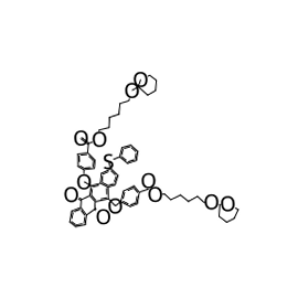 O=C(OCCCCCCOC1CCCCO1)c1ccc(Oc2c3c(c(Oc4ccc(C(=O)OCCCCCCOC5CCCCO5)cc4)c4cc(Sc5ccccc5)ccc24)C(=O)c2ccccc2C3=O)cc1